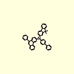 CC1(C)c2ccccc2-c2ccc(N(c3ccc(-c4ccccc4)cc3)c3ccc4c(-c5ccccc5)cc5ccccc5c4c3)cc21